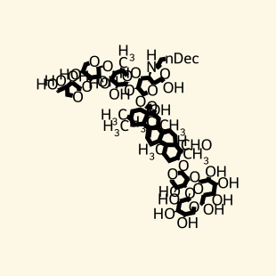 CCCCCCCCCCCC(=O)N[C@H]1C(CO)O[C@@H](OC(=O)[C@]23CCC(C)(C)CC2C2=CCC4C5(C)CC[C@H](O[C@@H]6OC[C@@H](O)[C@H](O[C@@H]7OC[C@@H](O)[C@H](O)C7O)C6O[C@@H]6OC(CO)[C@H](O)[C@H](O)C6O)[C@](C)(C=O)[C@@H]5CCC4(C)[C@]2(C)CC3O)[C@H](O[C@@H]2OC(C)[C@H](O[C@@H]3OC[C@@H](O)C(O[C@@H]4OC[C@@](O)(CO)C4O)[C@H]3O)C(O)[C@@H]2O)C1O